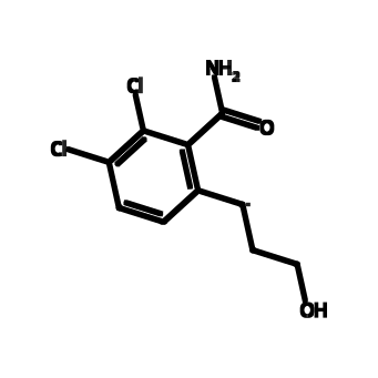 NC(=O)c1c([CH]CCO)ccc(Cl)c1Cl